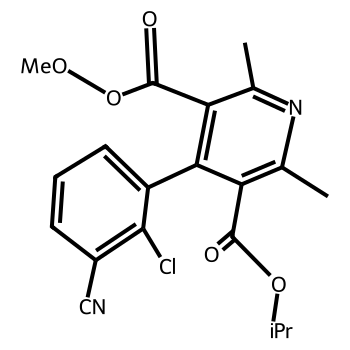 COOC(=O)c1c(C)nc(C)c(C(=O)OC(C)C)c1-c1cccc(C#N)c1Cl